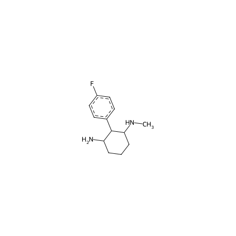 CNC1CCCC(N)C1c1ccc(F)cc1